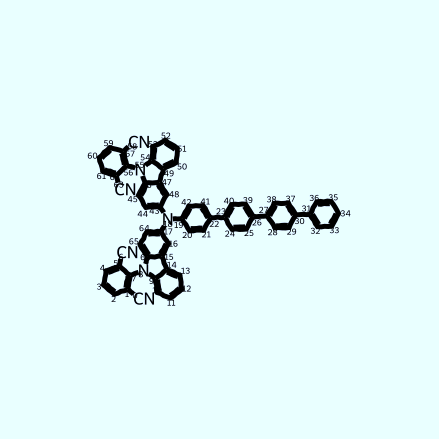 N#Cc1cccc(C#N)c1-n1c2ccccc2c2cc(N(c3ccc(-c4ccc(-c5ccc(-c6ccccc6)cc5)cc4)cc3)c3ccc4c(c3)c3ccccc3n4-c3c(C#N)cccc3C#N)ccc21